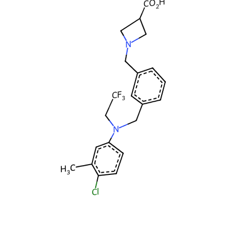 Cc1cc(N(Cc2cccc(CN3CC(C(=O)O)C3)c2)CC(F)(F)F)ccc1Cl